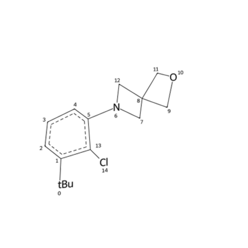 CC(C)(C)c1cccc(N2CC3(COC3)C2)c1Cl